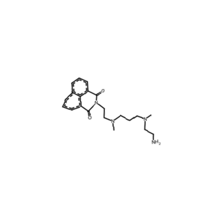 CN(CCN)CCCN(C)CCN1C(=O)c2cccc3cccc(c23)C1=O